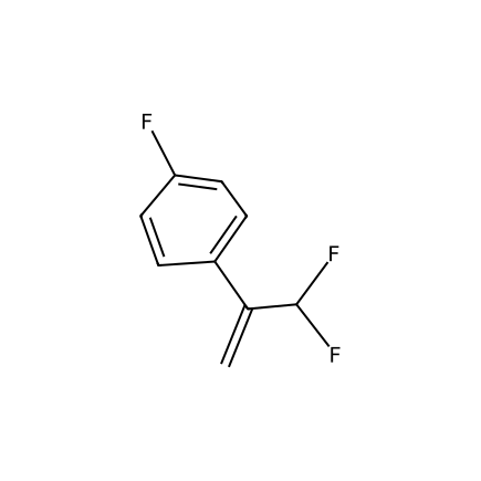 C=C(c1ccc(F)cc1)C(F)F